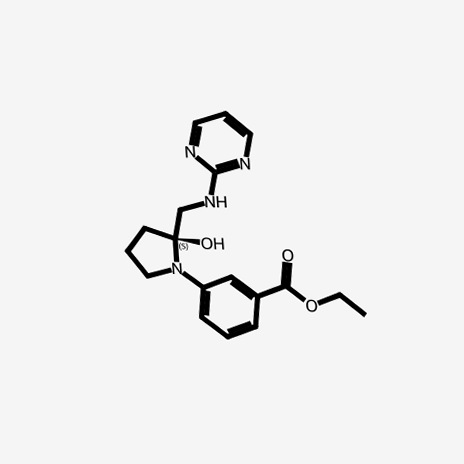 CCOC(=O)c1cccc(N2CCC[C@]2(O)CNc2ncccn2)c1